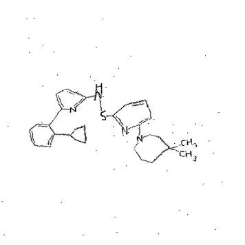 CC1(C)CCCN(c2cccc(SNc3cccc(-c4ccccc4C4CC4)n3)n2)C1